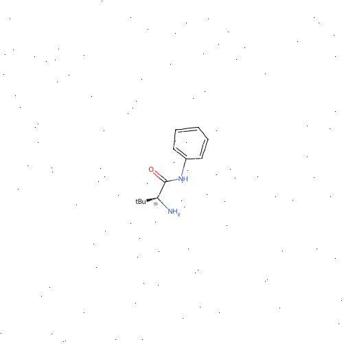 CC(C)(C)[C@H](N)C(=O)Nc1ccccc1